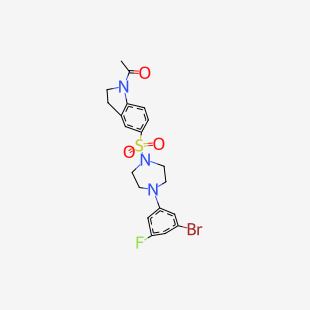 CC(=O)N1CCc2cc(S(=O)(=O)N3CCN(c4cc(F)cc(Br)c4)CC3)ccc21